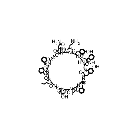 CCCC[C@H]1C(=O)N(C)CC(=O)N[C@@H](CC(=O)O)C(=O)N[C@@H](C(C)C)C(=O)N(C)[C@@H](Cc2ccccc2)C(=O)N[C@H]2Cc3ccc(O)cc3N(CC(=O)N[C@@H](Cc3c[nH]c4ccccc34)C(=O)NC(Cc3ccc(O)cc3)C(=O)N[C@@H](CCCCN)C(=O)N[C@H](C(=O)NCC(N)=O)CSCC(=O)N[C@@H](Cc3ccccc3)C(=O)N(C)[C@@H](Cc3ccccc3)C(=O)N1C)C2=O